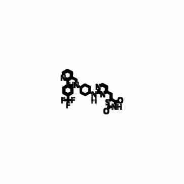 O=C1NC(=O)C(=Cc2ccnc(N[C@H]3CC[C@H](NCc4cccnc4-c4ccc(C(F)(F)F)cc4)CC3)n2)S1